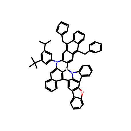 CC(C)c1cc(N2c3cc4c(Cc5ccccc5)c5ccccc5c(Cc5ccccc5)c4cc3B3c4c2cc2ccccc2c4-c2cc4c5ccccc5oc4c4c5ccccc5n3c24)cc(C(C)(C)C)c1